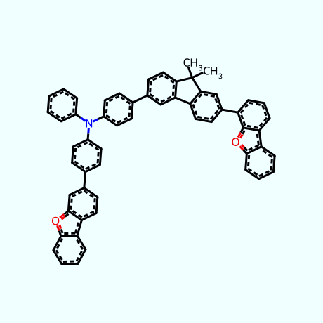 CC1(C)c2ccc(-c3ccc(N(c4ccccc4)c4ccc(-c5ccc6c(c5)oc5ccccc56)cc4)cc3)cc2-c2ccc(-c3cccc4c3oc3ccccc34)cc21